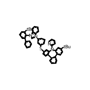 CC(C)(C)c1ccc2c(c1)N(c1ccccn1)c1cc(Sc3cccc(-n4c[n+](-c5c(-c6ccccc6)cccc5C(C)(C)C)c5ccccc54)c3)ccc1-c1ccccc1-2